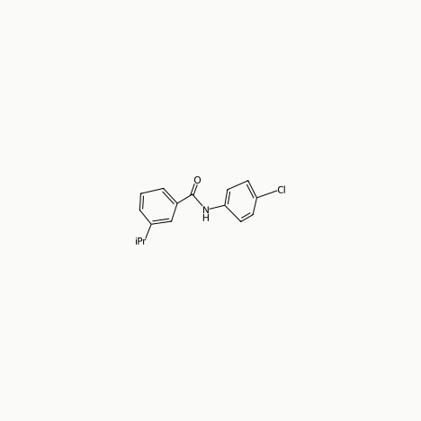 CC(C)c1cccc(C(=O)Nc2ccc(Cl)cc2)c1